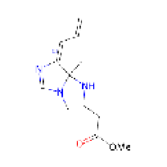 C=C/C=C1/N=CN(C)C1(C)NCCC(=O)OC